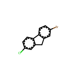 Clc1ccc2c(c1)Cc1cc(Br)ccc1-2